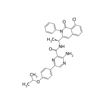 CC(C)Oc1ccc(-c2cnc(N)c(C(=O)N[C@@H](C)c3cc4cccc(Cl)c4c(=O)n3-c3ccccc3)n2)cc1